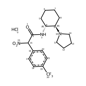 Cl.O=C(N[C@@H]1CCCC[C@H]1N1CCCC1)C(c1ccc(C(F)(F)F)cc1)[N+](=O)[O-]